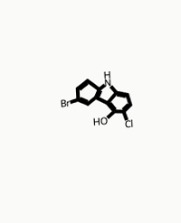 Oc1c(Cl)ccc2[nH]c3ccc(Br)cc3c12